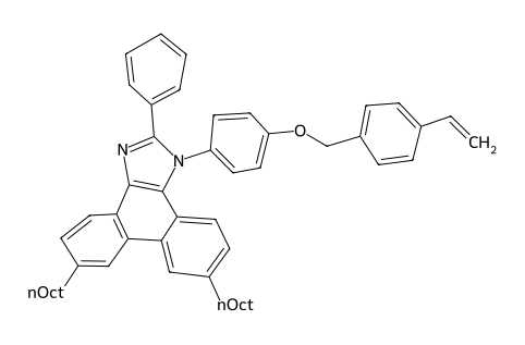 C=Cc1ccc(COc2ccc(-n3c(-c4ccccc4)nc4c5ccc(CCCCCCCC)cc5c5cc(CCCCCCCC)ccc5c43)cc2)cc1